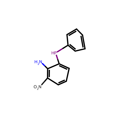 Nc1c(Pc2ccccc2)cccc1[N+](=O)[O-]